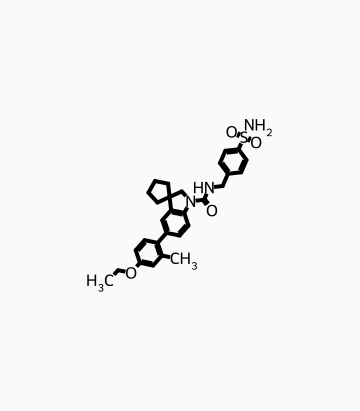 CCOc1ccc(-c2ccc3c(c2)C2(CCCC2)CN3C(=O)NCc2ccc(S(N)(=O)=O)cc2)c(C)c1